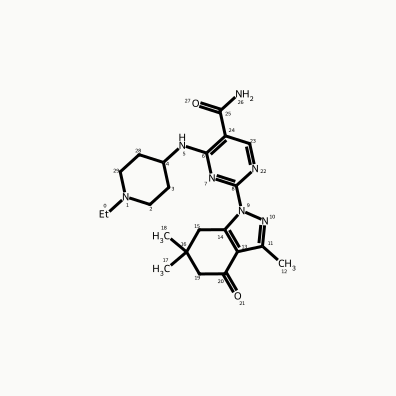 CCN1CCC(Nc2nc(-n3nc(C)c4c3CC(C)(C)CC4=O)ncc2C(N)=O)CC1